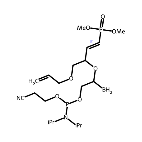 BC(COP(OCCC#N)N(C(C)C)C(C)C)OC(/C=C/P(=O)(OC)OC)COCC=C